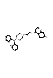 Ic1ccc2c(NCCCN3CCN(C4c5ccccc5Sc5ccccc54)CC3)ccnc2c1